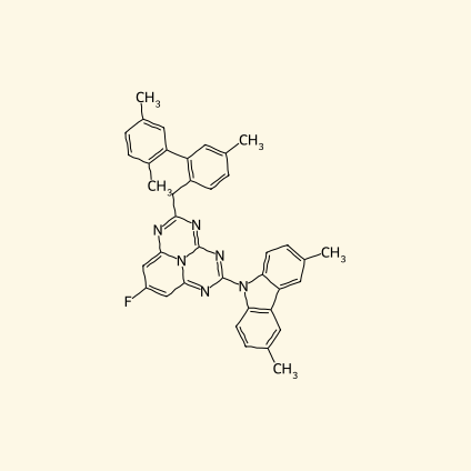 Cc1ccc(C)c(-c2cc(C)ccc2CC2=NC3=CC(F)=CC4=NC(n5c6ccc(C)cc6c6cc(C)ccc65)=NC(=N2)N34)c1